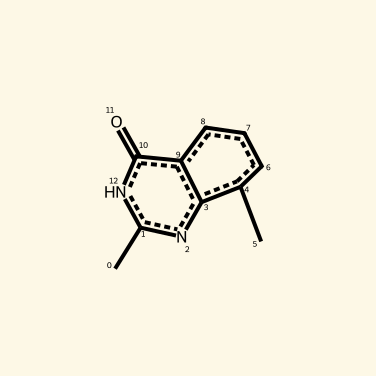 Cc1nc2c(C)cccc2c(=O)[nH]1